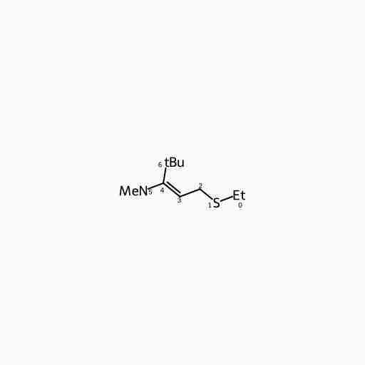 CCSCC=C(NC)C(C)(C)C